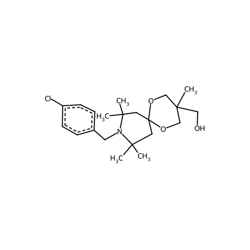 CC1(CO)COC2(CC(C)(C)N(Cc3ccc(Cl)cc3)C(C)(C)C2)OC1